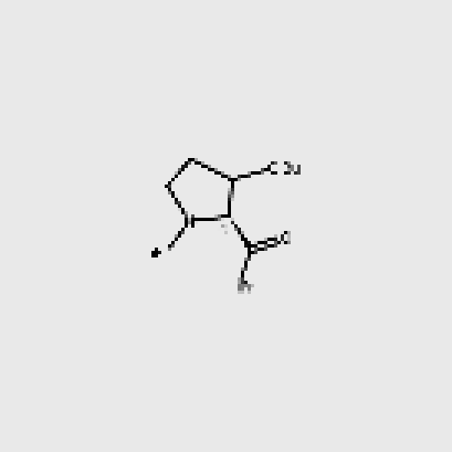 CC(C)COC1CCN(C(C)C)[C@@H]1C(=O)C(C)C